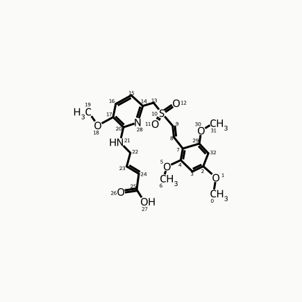 COc1cc(OC)c(C=CS(=O)(=O)Cc2ccc(OC)c(NCC=CC(=O)O)n2)c(OC)c1